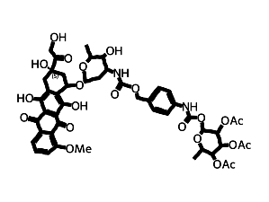 COc1cccc2c1C(=O)c1c(O)c3c(c(O)c1C2=O)C[C@@](O)(C(=O)CO)CC3OC1CC(NC(=O)OCc2ccc(NC(=O)OC3OC(C)C(OC(C)=O)C(OC(C)=O)C3OC(C)=O)cc2)C(O)C(C)O1